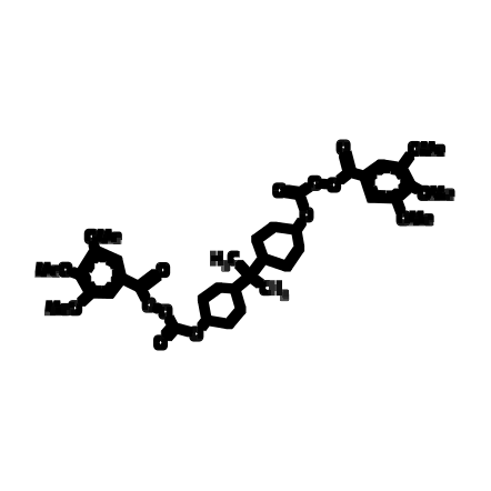 COc1cc(C(=O)OOC(=O)OC2CCC(C(C)(C)C3CCC(OC(=O)OOC(=O)c4cc(OC)c(OC)c(OC)c4)CC3)CC2)cc(OC)c1OC